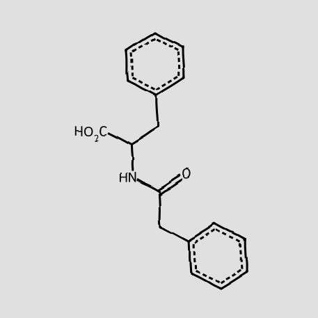 O=C(Cc1ccccc1)NC(Cc1ccccc1)C(=O)O